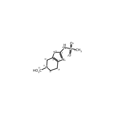 CS(=O)(=O)Nc1nc2c(s1)CN(C(=O)O)CC2